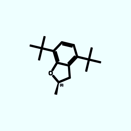 C[C@@H]1Cc2c(C(C)(C)C)ccc(C(C)(C)C)c2O1